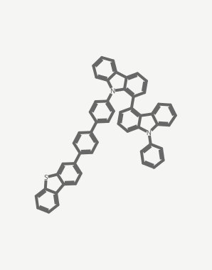 c1ccc(-n2c3ccccc3c3c(-c4cccc5c6ccccc6n(-c6ccc(-c7ccc(-c8ccc9c(c8)sc8ccccc89)cc7)cc6)c45)cccc32)cc1